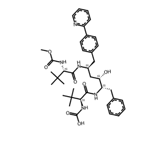 COC(=O)N[C@H](C(=O)N[C@@H](Cc1ccc(-c2ccccn2)cc1)C[C@H](O)[C@H](Cc1ccccc1)NC(=O)[C@@H](NC(=O)O)C(C)(C)C)C(C)(C)C